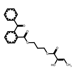 CC=C(O)C(=O)OCCCOC(=O)c1ccccc1C(=O)c1ccccc1